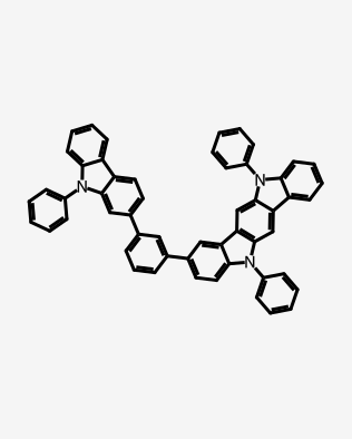 c1ccc(-n2c3ccccc3c3ccc(-c4cccc(-c5ccc6c(c5)c5cc7c(cc5n6-c5ccccc5)c5ccccc5n7-c5ccccc5)c4)cc32)cc1